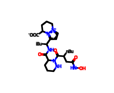 CCCCC(CC(=O)NO)C(=O)N1NCCCC1C(=O)NC(c1cc[n+]2n1C(C(=O)[O-])CCC2)C(C)CC